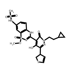 COP1(=O)N=C(c2c(O)c(C3C=CSC3)nn(CCC3CC3)c2=O)Nc2ccc(NS(C)(=O)=O)cc21